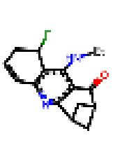 CCNc1c2c(nc3c1C(F)CC=C3)C1CC(C1)C2=O